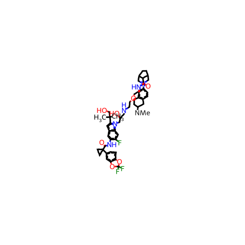 CNC1CCc2cc(N3CC4CCC(C3)C4C(=O)NCCOCCNCC(O)Cn3c(C(C)(C)CO)cc4cc(NC(=O)C5(c6ccc7c(c6)OC(F)(F)O7)CC5)c(F)cc43)ccc2C1